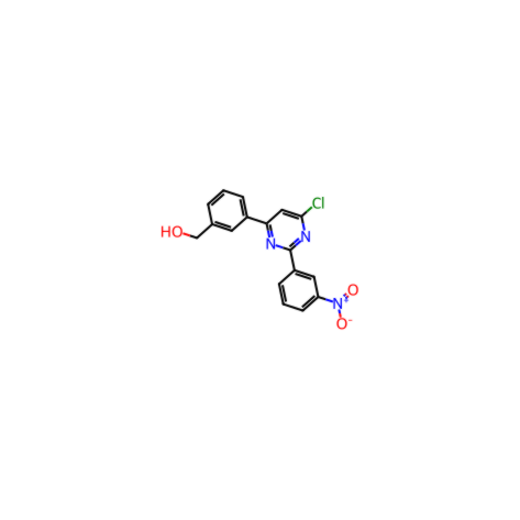 O=[N+]([O-])c1cccc(-c2nc(Cl)cc(-c3cccc(CO)c3)n2)c1